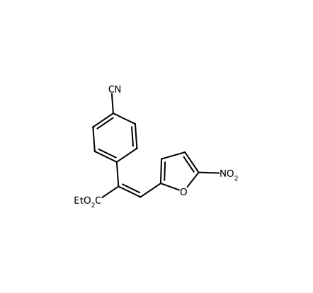 CCOC(=O)/C(=C/c1ccc([N+](=O)[O-])o1)c1ccc(C#N)cc1